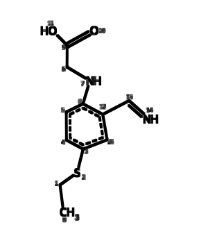 CCSc1ccc(NCC(=O)O)c(C=N)c1